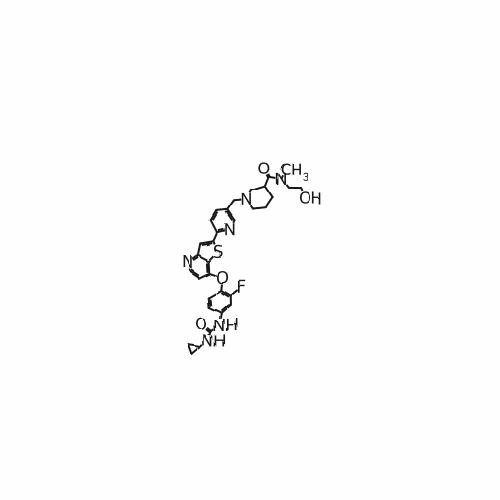 CN(CCO)C(=O)C1CCCN(Cc2ccc(-c3cc4nccc(Oc5ccc(NC(=O)NC6CC6)cc5F)c4s3)nc2)C1